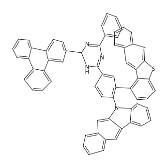 c1ccc(C2=NC(c3ccc4c5ccccc5c5ccccc5c4c3)NC(c3ccc(-n4c5ccccc5c5cc6ccccc6cc54)c(-c4cccc5sc6cc7ccccc7cc6c45)c3)=N2)cc1